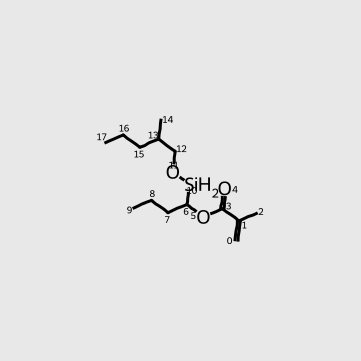 C=C(C)C(=O)OC(CCC)[SiH2]OCC(C)CCC